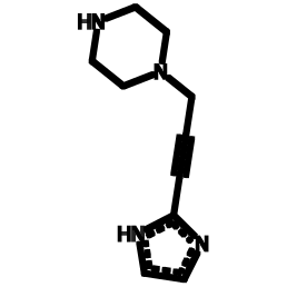 C(#Cc1ncc[nH]1)CN1CCNCC1